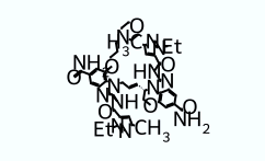 CCn1nc(C)cc1C(=O)Nc1nc2cc(C(N)=O)cc(OCCCN3CCOCC3)c2n1C/C=C/[C@H]1COc2cc(C(N)=O)cc3nc(NC(=O)c4cc(C)nn4CC)n1c23